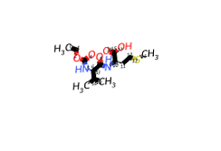 CCOC(=O)N[C@H](C(=O)N[C@@H](CCSC)C(=O)O)C(C)C